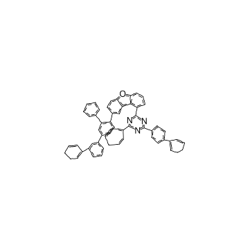 C1=CCC=CC(c2nc(-c3ccc(C4=CCCC=C4)cc3)nc(-c3cccc4oc5ccc(-c6ccc(-c7cccc(C8=CCCC=C8)c7)cc6-c6ccccc6)cc5c34)n2)=C1